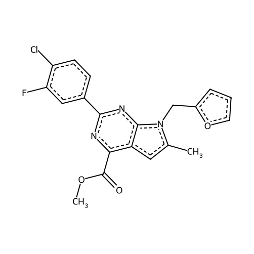 COC(=O)c1nc(-c2ccc(Cl)c(F)c2)nc2c1cc(C)n2Cc1ccco1